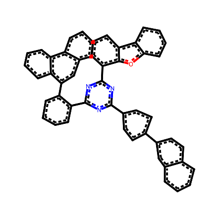 c1ccc(-c2cc3ccccc3c3ccccc23)c(-c2nc(-c3ccc(-c4ccc5ccccc5c4)cc3)nc(-c3cccc4c3oc3ccccc34)n2)c1